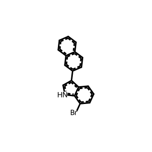 Brc1cccc2c(-c3ccc4ccccc4c3)c[nH]c12